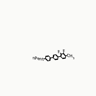 CCCCCc1ccc(-c2ccc(-c3ccc(C)c(F)c3F)cc2)cc1